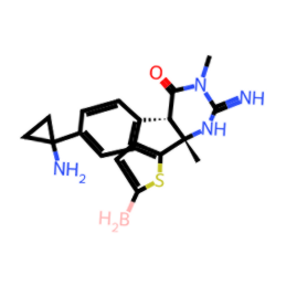 Bc1ccc([C@@]2(C)NC(=N)N(C)C(=O)[C@H]2c2ccc(C3(N)CC3)cc2)s1